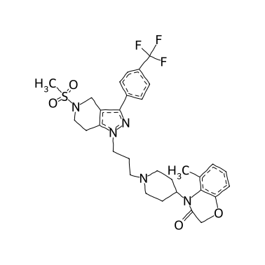 Cc1cccc2c1N(C1CCN(CCCn3nc(-c4ccc(C(F)(F)F)cc4)c4c3CCN(S(C)(=O)=O)C4)CC1)C(=O)CO2